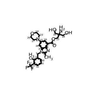 Cc1c(Cn2c(C)nc3c(C(=O)OCC(N)(CO)CO)cc(N4CCOCC4)cc32)cccc1C(F)(F)F